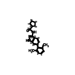 Cc1cccc(C)c1-c1ccc2c(NC(=O)C3CCCC3)n[nH]c2c1